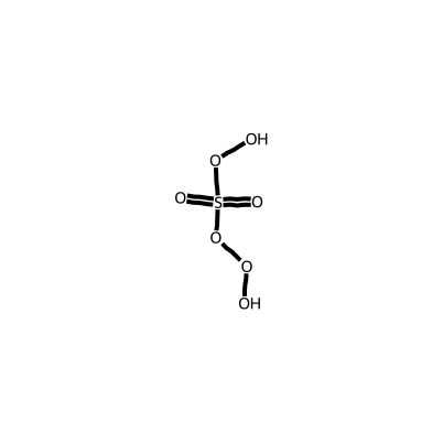 O=S(=O)(OO)OOO